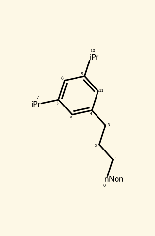 CCCCCCCCCCCCc1cc(C(C)C)cc(C(C)C)c1